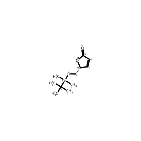 CC(C)(C)[Si](C)(C)OC[C@H]1C=CC(=O)O1